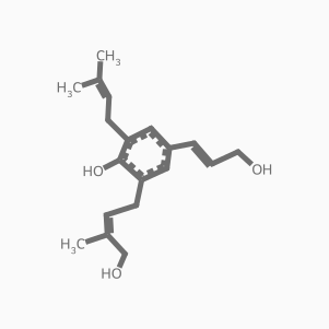 CC(C)=CCc1cc(/C=C/CO)cc(C/C=C(/C)CO)c1O